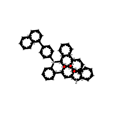 c1ccc(N(c2ccc(-c3cccc4ccccc34)cc2)c2cc3ccccc3c3ccccc23)c(-c2ccc3c(c2)sc2ccccc23)c1